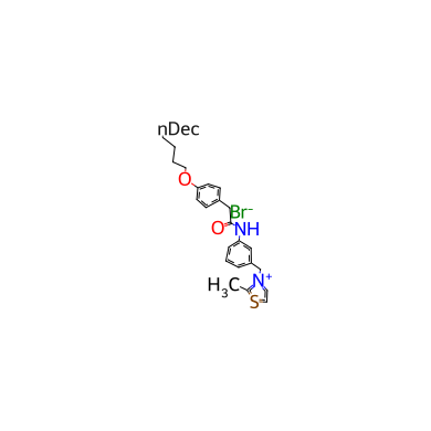 CCCCCCCCCCCCCCOc1ccc(CC(=O)Nc2cccc(C[n+]3ccsc3C)c2)cc1.[Br-]